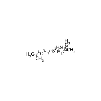 CC(C)COCCCSCCNC(C)(C)C